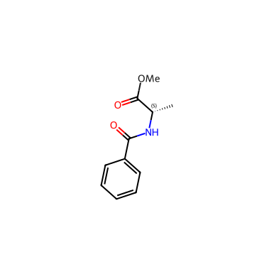 COC(=O)[C@H](C)NC(=O)c1ccccc1